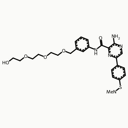 CNSc1ccc(-c2cnc(N)c(C(=O)Nc3cccc(COCCOCCOCCO)c3)n2)cc1